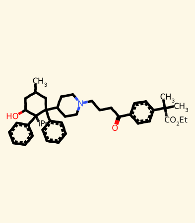 CCOC(=O)C(C)(C)c1ccc(C(=O)CCCN2CCC(C3(c4ccccc4)CC(C)CC(O)C3(c3ccccc3)C(C)C)CC2)cc1